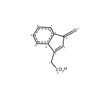 O=C(O)CC1=CC(=O)c2ccccc21